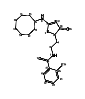 O=C(NCCC1SC(NC2CCCCCCC2)=NC1=O)c1ccccc1F